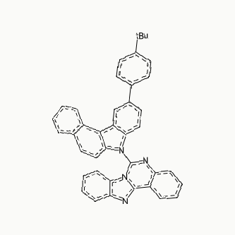 CC(C)(C)c1ccc(-c2ccc3c(c2)c2c4ccccc4ccc2n3-c2nc3ccccc3c3nc4ccccc4n23)cc1